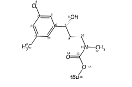 Cc1cc(Cl)cc([C@H](O)CCN(C)C(=O)OC(C)(C)C)c1